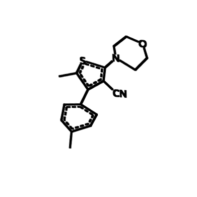 Cc1ccc(-c2c(C)sc(N3CCOCC3)c2C#N)cc1